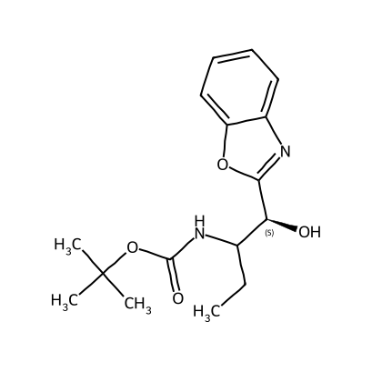 CCC(NC(=O)OC(C)(C)C)[C@H](O)c1nc2ccccc2o1